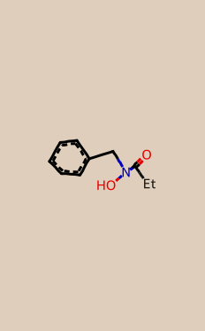 CCC(=O)N(O)Cc1ccccc1